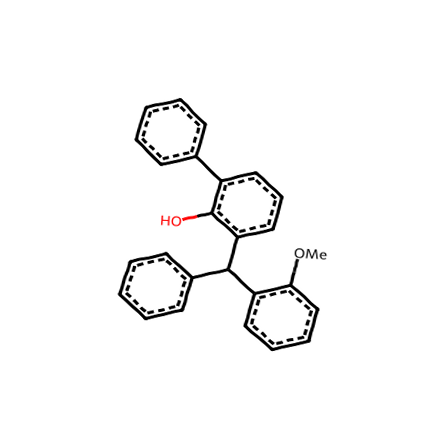 COc1ccccc1C(c1ccccc1)c1cccc(-c2ccccc2)c1O